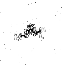 CC(C)c1coc(-c2nc(-c3nc(C(C)C)co3)c(Cl)c([N+](=O)[O-])c2Cl)n1.[Co]